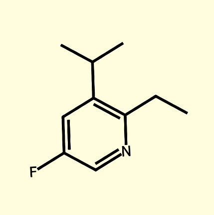 CCc1ncc(F)cc1C(C)C